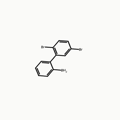 Bc1ccccc1-c1cc(Br)ccc1Br